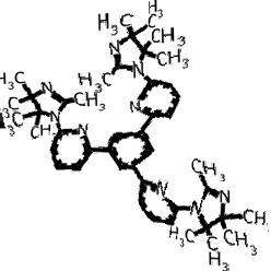 CC1=NC(C)(C)C(C)(C)N1c1cccc(-c2cc(-c3cccc(N4C(C)=NC(C)(C)C4(C)C)n3)cc(-c3cccc(N4C(C)=NC(C)(C)C4(C)C)n3)c2)n1